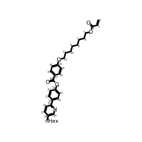 C=CC(=O)OCCCCCCCCOc1ccc(C(=O)Oc2ccc(-c3ccc(CCCCCC)cn3)cc2)cc1